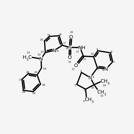 CC1CCN(c2ncccc2C(=O)NS(=O)(=O)c2cccc(N(C)Cc3ccccc3)n2)C1(C)C